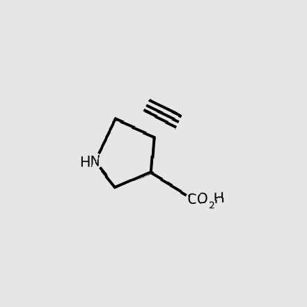 C#C.O=C(O)C1CCNC1